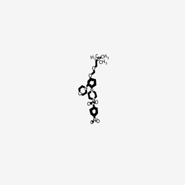 CS(C)(C)CCOCOc1ccc(N2CCN(S(=O)(=O)c3ccc([N+](=O)[O-])cc3)CC2)c(N2CCOCC2)c1